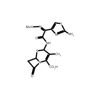 CO/N=C(\C(=O)NC1SC2CC(=O)N2C(C(=O)O)=C1C)c1csc(N)n1